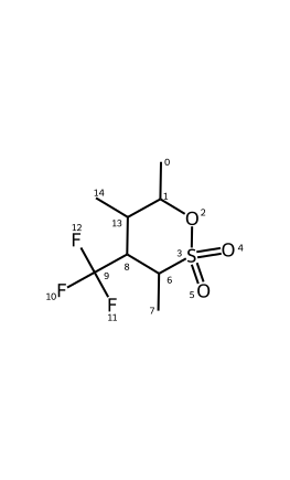 CC1OS(=O)(=O)C(C)C(C(F)(F)F)C1C